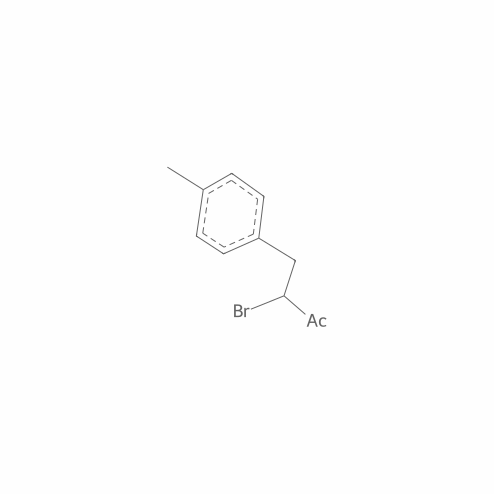 CC(=O)C(Br)Cc1ccc(C)cc1